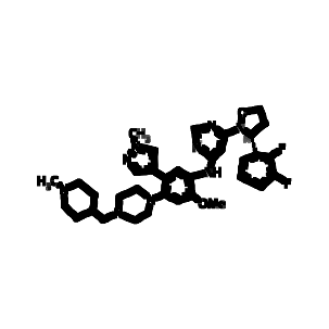 COc1cc(N2CCN(CC3CCN(C)CC3)CC2)c(-c2cnn(C)c2)cc1Nc1cc(N2OCC[C@@H]2c2cccc(F)c2F)ncn1